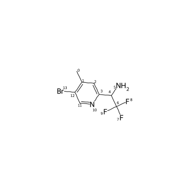 Cc1cc(C(N)C(F)(F)F)ncc1Br